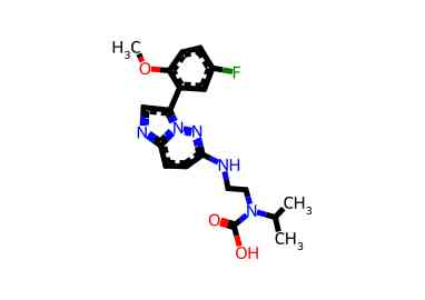 COc1ccc(F)cc1-c1cnc2ccc(NCCN(C(=O)O)C(C)C)nn12